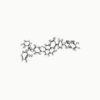 c1ccc(N(c2ccccc2)c2ccc(-c3ccc4ccc5c(-c6ccc(-c7cn8cccnc8n7)cc6)ccc6ccc3c4c65)cc2)cc1